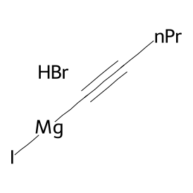 Br.CCCC#[C][Mg][I]